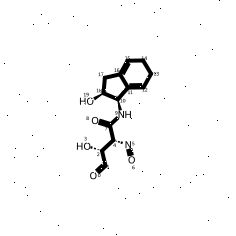 O=C[C@H](O)[C@@H](N=O)C(=O)N[C@@H]1C2=CCCC=C2C[C@@H]1O